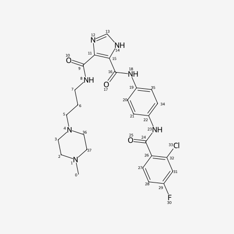 CN1CCN(CCCNC(=O)c2nc[nH]c2C(=O)Nc2ccc(NC(=O)c3ccc(F)cc3Cl)cc2)CC1